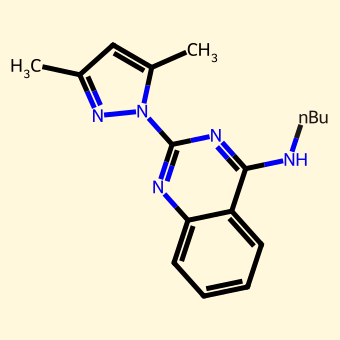 CCCCNc1nc(-n2nc(C)cc2C)nc2ccccc12